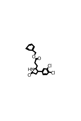 O=C1CC(c2ccc(Cl)c(Cl)c2)C(CCC(=O)OCc2ccccc2)N1